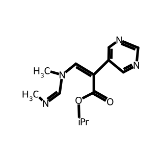 C/N=C\N(C)/C=C(\C(=O)OC(C)C)c1cncnc1